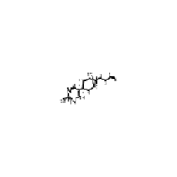 CCCCN1CCC(c2cnc(C)nc2)CC1